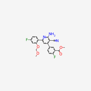 COCOc1cc(F)ccc1-c1cc(-c2ccc(F)c(C(=O)OC)c2)c(C#N)c(N)n1